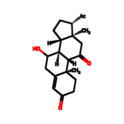 CC(=O)[C@H]1CC[C@H]2[C@@H]3C(O)CC4=CC(=O)CC[C@]4(C)[C@H]3C(=O)C[C@]12C